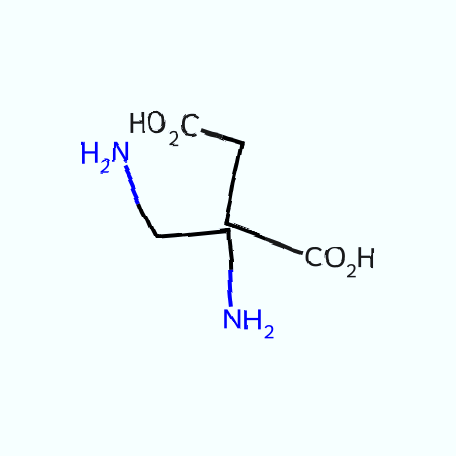 NCCN.O=C(O)CCC(=O)O